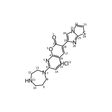 Cl.O=c1oc2nc(N3CCCNCC3)ccc2cc1-c1cn2ccsc2n1